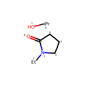 CC(C)O.CCN1CCCC1=O